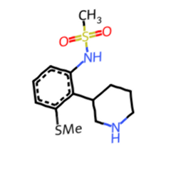 CSc1cccc(NS(C)(=O)=O)c1C1CCCNC1